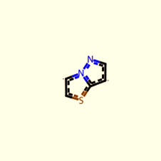 [c]1cnn2[c]csc12